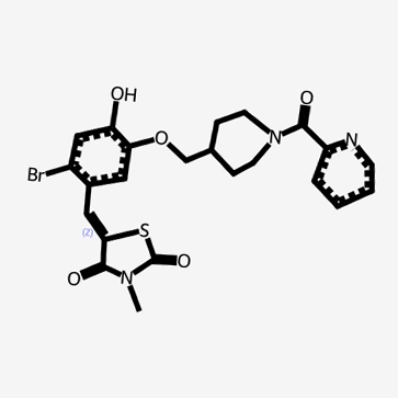 CN1C(=O)S/C(=C\c2cc(OCC3CCN(C(=O)c4ccccn4)CC3)c(O)cc2Br)C1=O